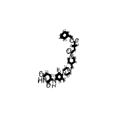 CC(C)(CC(=O)N1CCC(CN2CCN(c3c(F)cc(NC4CCC(=O)NC4=O)cc3F)CC2)CC1)C(=O)OCc1ccccc1